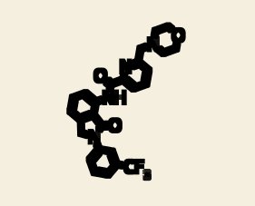 O=C(Nc1cccc2c1C(=O)N(c1cccc(C(F)(F)F)c1)C2)c1cccc(CN2CCOCC2)n1